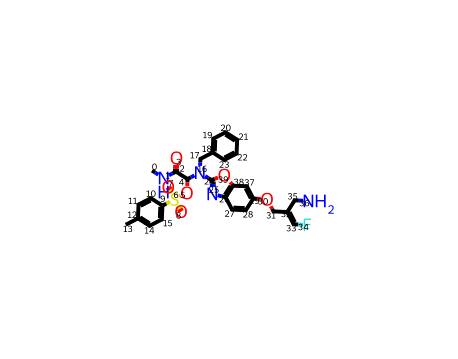 CNC(=O)C(OS(=O)(=O)c1ccc(C)cc1)N(Cc1ccccc1)c1nc2ccc(OC/C(=C/F)CN)cc2o1